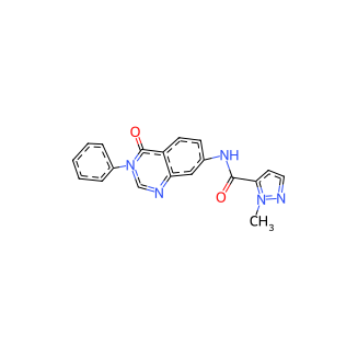 Cn1nccc1C(=O)Nc1ccc2c(=O)n(-c3ccccc3)cnc2c1